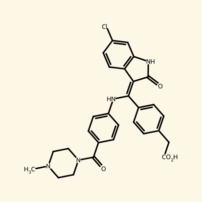 CN1CCN(C(=O)c2ccc(NC(=C3C(=O)Nc4cc(Cl)ccc43)c3ccc(CC(=O)O)cc3)cc2)CC1